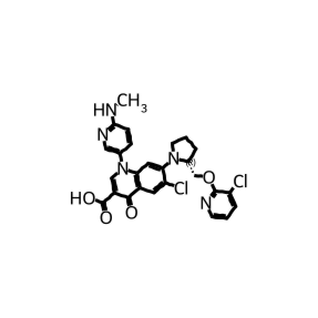 CNc1ccc(-n2cc(C(=O)O)c(=O)c3cc(Cl)c(N4CCC[C@@H]4COc4ncccc4Cl)cc32)cn1